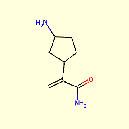 C=C(C(N)=O)C1CCC(N)C1